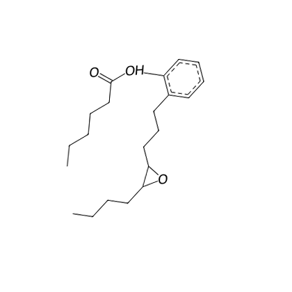 CCCCC1OC1CCCc1ccccc1C.CCCCCC(=O)O